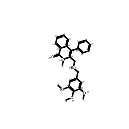 COc1cc(CNCc2c(-c3ccccc3)c3ccccc3c(=O)n2C)cc(OC)c1OC